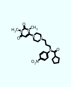 Cn1c(N2CCN(CCCN(C(=O)C3CCCC3)c3ccc([N+](=O)[O-])cc3)CC2)cc(=O)n(C)c1=O